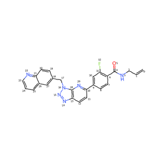 C=CCNC(=O)c1ccc(-c2ccc3nnn(Cc4ccc5ncccc5c4)c3n2)cc1F